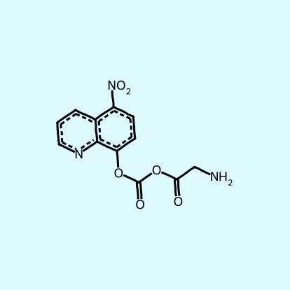 NCC(=O)OC(=O)Oc1ccc([N+](=O)[O-])c2cccnc12